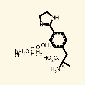 C[C@@](N)(Cc1ccc(C2=NCCN2)cc1)C(=O)O.Cl.Cl.O.O.O.O